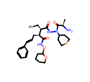 CC(C)C[C@@H](C(=O)NN(C(=O)[C@@H](C)N)C1CCSCC1)[C@H](CC=Cc1ccccc1)C(=O)NOC1CCCCO1